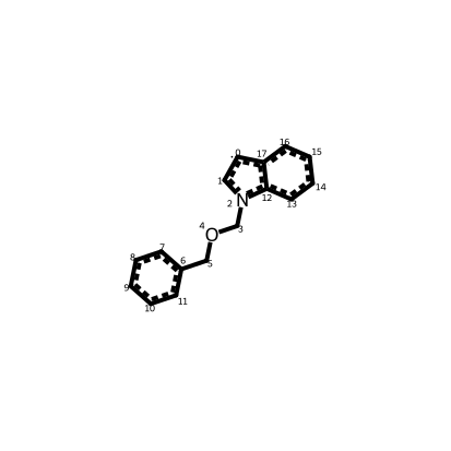 [c]1cn(COCc2ccccc2)c2ccccc12